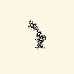 COc1cc2c(cc1OC)CN(CCc1ccc(NC(=O)c3cc(C(C)(C)C(O[SiH2]C)O[SiH2]C)ccc3C(N)=O)cc1)CC2